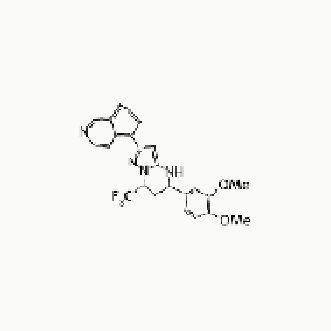 COc1ccc(C2CC(C(F)(F)F)n3nc(-c4cccc5cnccc45)cc3N2)cc1OC